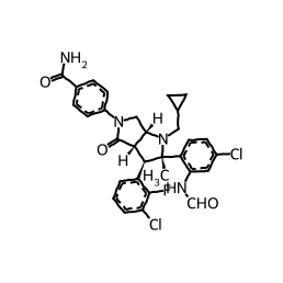 C[C@@]1(c2ccc(Cl)cc2NC=O)[C@@H](c2cccc(Cl)c2F)[C@@H]2C(=O)N(c3ccc(C(N)=O)cc3)C[C@@H]2N1CC1CC1